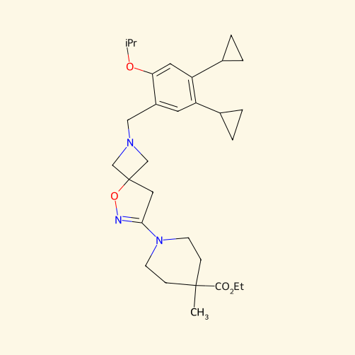 CCOC(=O)C1(C)CCN(C2=NOC3(C2)CN(Cc2cc(C4CC4)c(C4CC4)cc2OC(C)C)C3)CC1